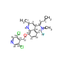 C=C/C=C(/c1cc(C)nc2c(OCc3c(Cl)cncc3Cl)cccc12)N(C)CF